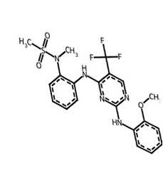 COc1ccccc1Nc1ncc(C(F)(F)F)c(Nc2ccccc2N(C)S(C)(=O)=O)n1